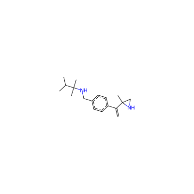 C=C(c1ccc(CNC(C)(C)C(C)C)cc1)C1(C)CN1